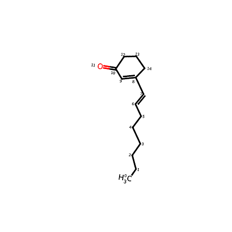 CCCCCCC=CC1=CC(=O)CCC1